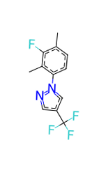 Cc1ccc(-n2cc(C(F)(F)F)cn2)c(C)c1F